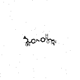 Cc1ncc(CC(=O)N[C@H]2CC[C@H](CCN3CCC(c4nocc4CC4CC4)CC3)CC2)s1